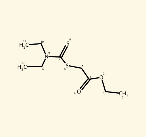 CCOC(=O)CSC(=S)N(CC)CC